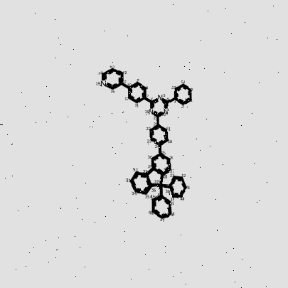 c1ccc(-c2nc(-c3ccc(-c4cccnc4)cc3)nc(-c3ccc(-c4ccc5c(c4)-c4ccccc4C5(c4ccccc4)c4ccccc4)cc3)n2)cc1